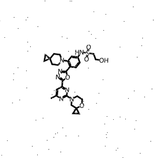 Cc1cc(-c2nnc(-c3ccc(NS(=O)(=O)CCO)cc3N3CCC4(CC3)CC4)o2)nc(N2CCOC3(CC3)C2)n1